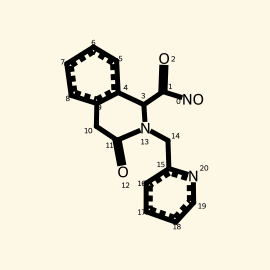 O=NC(=O)C1c2ccccc2CC(=O)N1Cc1ccccn1